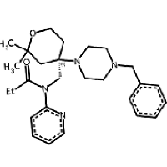 CCC(=O)N(C[C@@]1(N2CCN(Cc3ccccc3)CC2)CCOC(C)(C)C1)c1ccccn1